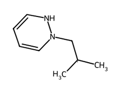 C[C](C)CN1C=CC=CN1